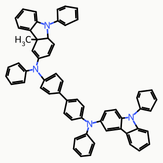 CC12C=C(N(c3ccccc3)c3ccc(-c4ccc(N(c5ccccc5)c5ccc6c(c5)c5ccccc5n6-c5ccccc5)cc4)cc3)C=CC1N(c1ccccc1)c1ccccc12